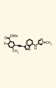 COC(=O)c1cc(C#Cc2cnc3c(Nc4cnn(C)c4)cccn23)c(C)cc1F